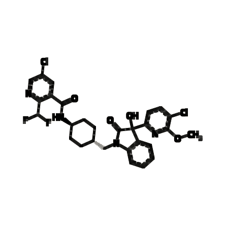 COc1nc(C2(O)C(=O)N(C[C@H]3CC[C@H](NC(=O)c4cc(Cl)cnc4C(F)F)CC3)c3ccccc32)ccc1Cl